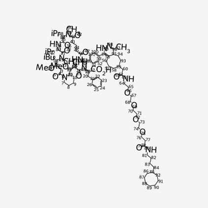 CCC(C)[C@@H]([C@@H](CC(=O)N1CCCC[C@H]1[C@H](OC)[C@@H](C)C(=O)N[C@@H](Cc1ccccc1)C(=O)O)OC)N(C)C(=O)[C@@H](NC(=O)[C@H](C(C)C)N(C)C(=O)CCCC(=O)NCc1ccc(C2=C3CCCC(CC(=O)NCCOCCOCCOCCOCCC(=O)NCCCCC4CCCCCCC4)CCC3C(C)=NN2)cc1)C(C)C